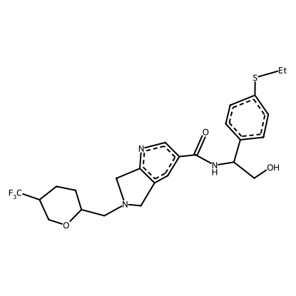 CCSc1ccc(C(CO)NC(=O)c2cnc3c(c2)CN(CC2CCC(C(F)(F)F)CO2)C3)cc1